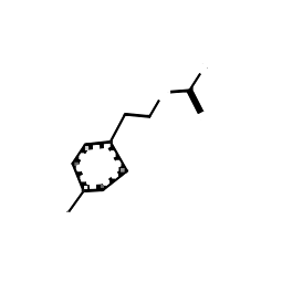 NC(=O)OCCc1ccc(Cl)cc1